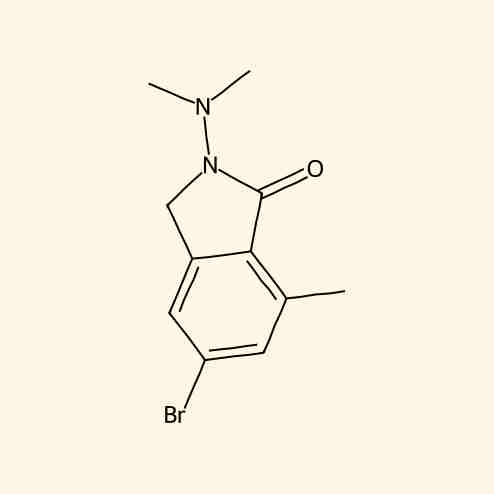 Cc1cc(Br)cc2c1C(=O)N(N(C)C)C2